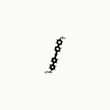 CCCCC1CCC(C2CC=C(C#Cc3ccc(-c4ccc(OCCC)cc4)cc3)CC2)CC1